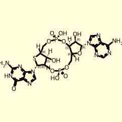 Nc1nc2c(ncn2[C@@H]2S[C@@H]3COP(=O)(O)O[C@H]4[C@@H](O)[C@H](n5cnc6c(N)ncnc65)O[C@@H]4COP(=O)(O)O[C@@H]2[C@@H]3O)c(=O)[nH]1